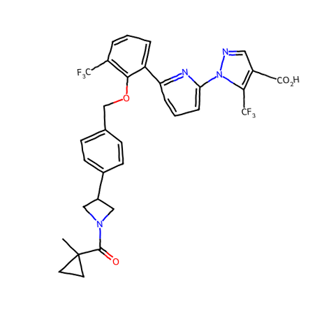 CC1(C(=O)N2CC(c3ccc(COc4c(-c5cccc(-n6ncc(C(=O)O)c6C(F)(F)F)n5)cccc4C(F)(F)F)cc3)C2)CC1